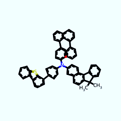 CC1(C)c2ccccc2-c2c1ccc1cc(N(c3ccc(-c4cccc5c4sc4ccccc45)cc3)c3ccc(-c4cccc5cccc(-c6ccccc6)c45)cc3)ccc21